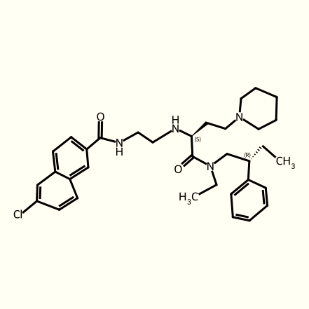 CC[C@@H](CN(CC)C(=O)[C@H](CCN1CCCCC1)NCCNC(=O)c1ccc2cc(Cl)ccc2c1)c1ccccc1